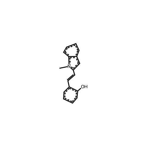 Cn1c(/C=C/c2ccccc2O)cc2ccccc21